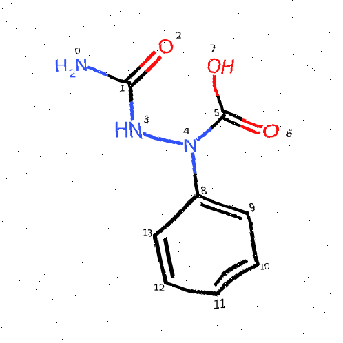 NC(=O)NN(C(=O)O)c1ccccc1